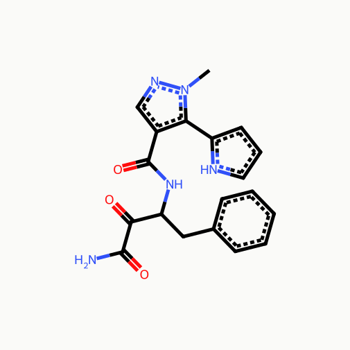 Cn1ncc(C(=O)NC(Cc2ccccc2)C(=O)C(N)=O)c1-c1ccc[nH]1